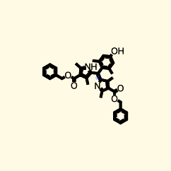 CC1=N/C(=C(\c2[nH]c(C)c(C(=O)OCc3ccccc3)c2C)c2c(C)cc(O)cc2C)C(C)=C1C(=O)OCc1ccccc1